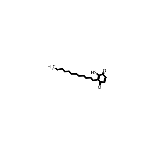 CCCCCCCCCCCCC1=C(S)C(=O)C=CC1=O